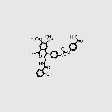 COc1cc(C(C)=O)c(C(CCNC(=O)c2ccccc2O)c2ccc(NC(=O)Nc3ccc(C(C)=O)cc3)cc2)cc1OC